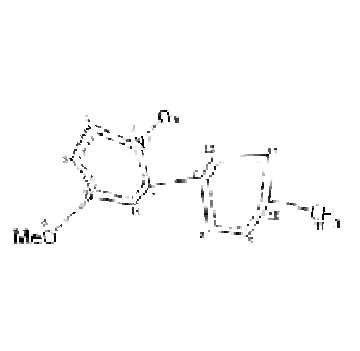 COc1cc[n+]([O-])c(-c2ccc(C)cc2)c1